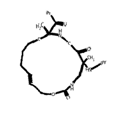 CC(C)NC1(C)CNC(=O)OC/C=C/CCCCC(C)(C(=O)C(C)C)NCC1=O